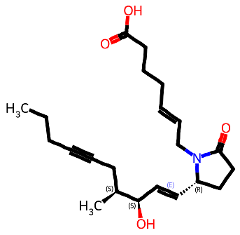 CCCC#CC[C@H](C)[C@H](O)/C=C/[C@H]1CCC(=O)N1CC=CCCCC(=O)O